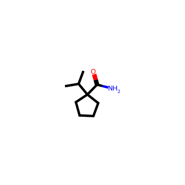 CC(C)C1(C(N)=O)CCCC1